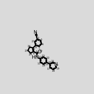 N#Cc1cccc(C2=C(C(=O)Nc3ccc(-c4cccnc4)cc3)CCC2)c1